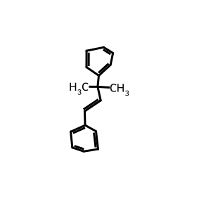 CC(C)(C=Cc1ccccc1)c1ccccc1